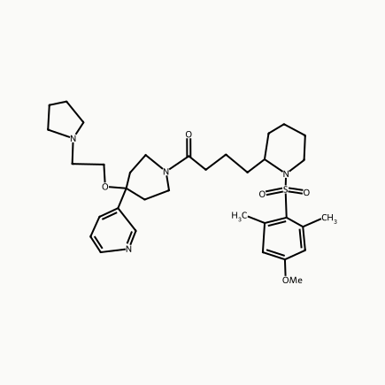 COc1cc(C)c(S(=O)(=O)N2CCCCC2CCCC(=O)N2CCC(OCCN3CCCC3)(c3cccnc3)CC2)c(C)c1